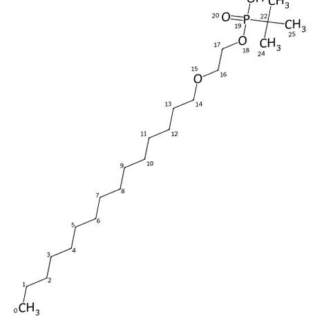 CCCCCCCCCCCCCCCOCCOP(=O)(O)C(C)(C)C